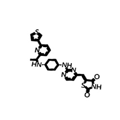 CC(N[C@H]1CC[C@@H](Nc2nccc(/C=C3\SC(=O)NC3=O)n2)CC1)c1cccc(-c2ccsc2)n1